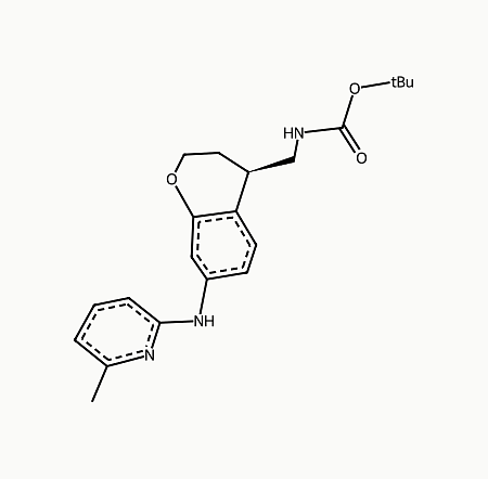 Cc1cccc(Nc2ccc3c(c2)OCC[C@H]3CNC(=O)OC(C)(C)C)n1